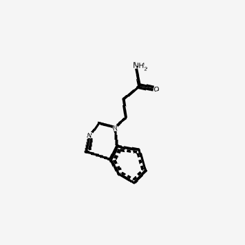 NC(=O)CCN1CN=Cc2ccccc21